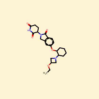 CCOC1CN(C2CCCCC2Oc2ccc3c(c2)CN(C2CCC(=O)NC2=O)C3=O)C1